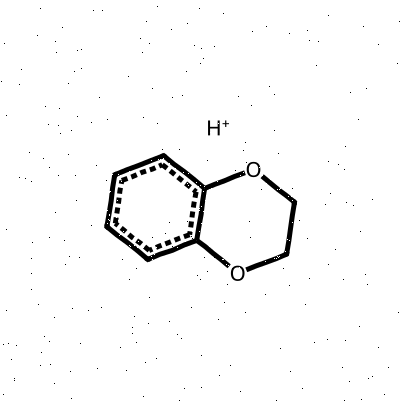 [H+].c1ccc2c(c1)OCCO2